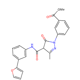 COC(=O)c1cccc(N2N=C(C)C(C(=O)Nc3cccc(-c4ccco4)c3)C2=O)c1